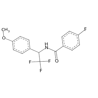 COc1ccc(C(NC(=O)c2ccc(F)cc2)C(F)(F)F)cc1